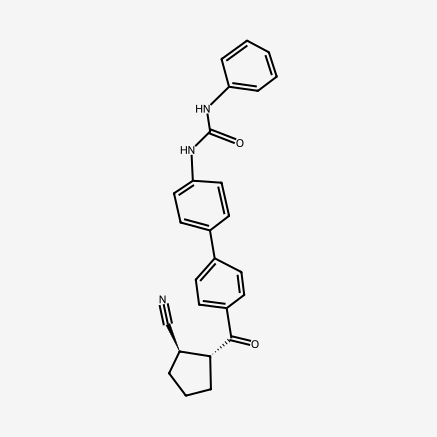 N#C[C@@H]1CCC[C@H]1C(=O)c1ccc(-c2ccc(NC(=O)Nc3ccccc3)cc2)cc1